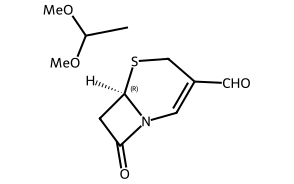 COC(C)OC.O=CC1=CN2C(=O)C[C@H]2SC1